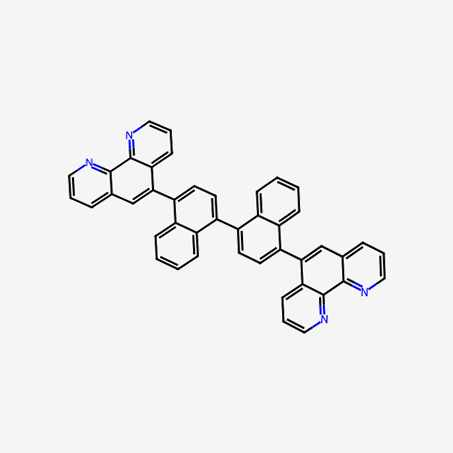 c1cnc2c(c1)cc(-c1ccc(-c3ccc(-c4cc5cccnc5c5ncccc45)c4ccccc34)c3ccccc13)c1cccnc12